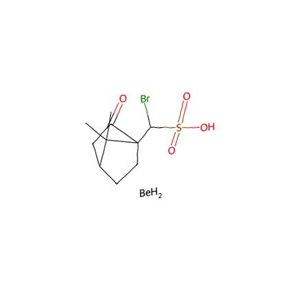 CC1(C)C2CCC1(C(Br)S(=O)(=O)O)C(=O)C2.[BeH2]